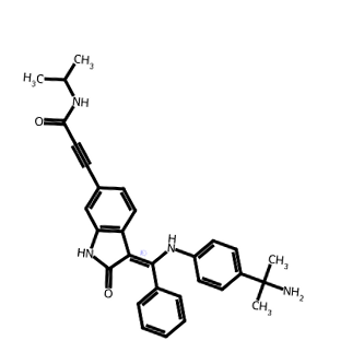 CC(C)NC(=O)C#Cc1ccc2c(c1)NC(=O)/C2=C(/Nc1ccc(C(C)(C)N)cc1)c1ccccc1